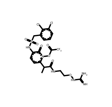 CC(C(=O)NCCONC(=N)N)c1ccc(NS(=O)(=O)Cc2cccc(Cl)c2Cl)c(=O)n1OC(=O)C(F)(F)F